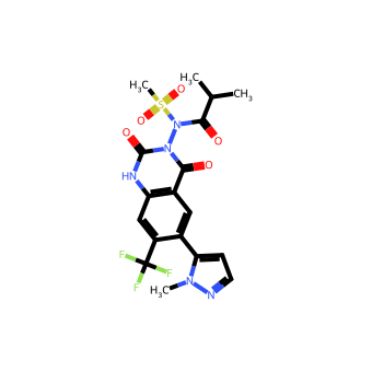 CC(C)C(=O)N(n1c(=O)[nH]c2cc(C(F)(F)F)c(-c3ccnn3C)cc2c1=O)S(C)(=O)=O